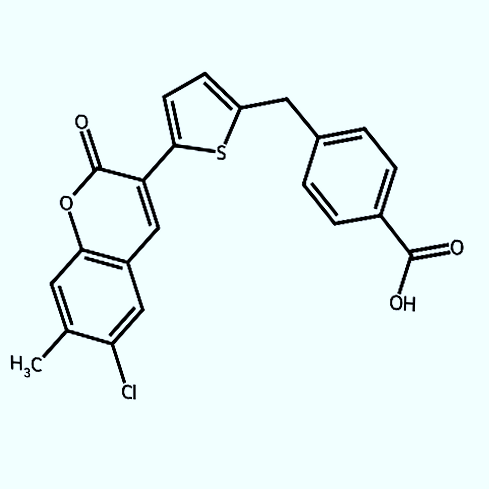 Cc1cc2oc(=O)c(-c3ccc(Cc4ccc(C(=O)O)cc4)s3)cc2cc1Cl